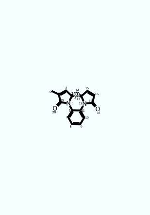 CC1=CC(=O)N(c2ccccc2N2C(=O)C=CC2=O)C1=O